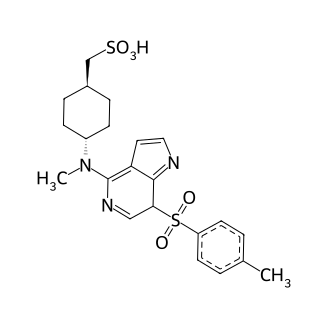 Cc1ccc(S(=O)(=O)C2C=NC(N(C)[C@H]3CC[C@H](CS(=O)(=O)O)CC3)=C3C=CN=C32)cc1